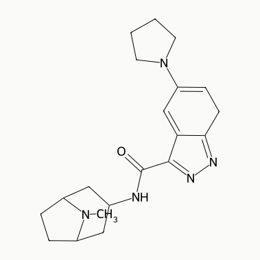 CN1C2CCC1CC(NC(=O)C1=NN=C3CC=C(N4CCCC4)C=C31)C2